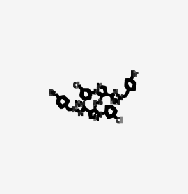 Clc1cccc(-n2ncc(-c3nnn(Cc4ccc(Br)cc4)n3)c2SSc2c(-c3nnn(Cc4ccc(Br)cc4)n3)cnn2-c2cccc(Cl)c2)c1